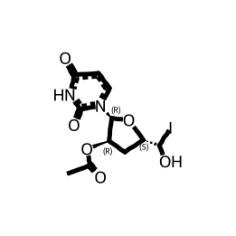 CC(=O)O[C@@H]1C[C@@H](C(O)I)O[C@H]1n1ccc(=O)[nH]c1=O